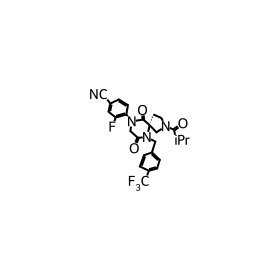 CC(C)C(=O)N1CC[C@@]2(C1)C(=O)N(c1ccc(C#N)cc1F)CC(=O)N2Cc1ccc(C(F)(F)F)cc1